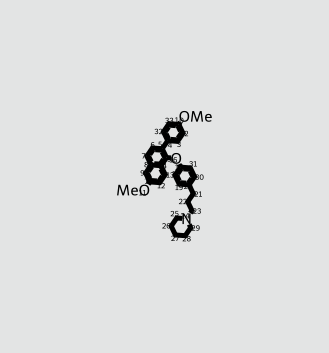 COc1ccc(-c2ccc3cc(OC)ccc3c2Oc2ccc(CCCN3CCCCC3)cc2)cc1